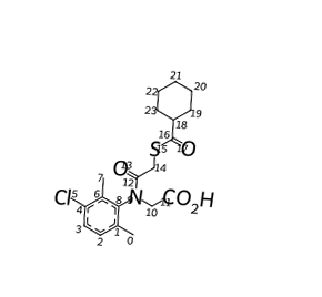 Cc1ccc(Cl)c(C)c1N(CC(=O)O)C(=O)CSC(=O)C1CCCCC1